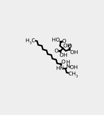 CCCCCCCCCCCC(=O)NC(CC)NO.O=C(O)CC(O)(CC(=O)O)C(=O)O